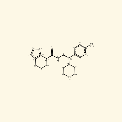 O=C(NC[C@@H](c1cnc(C(F)(F)F)nc1)N1CCOCC1)[C@H]1CCCc2ncsc21